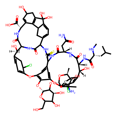 CN[C@H](CC(C)C)C(=O)N[C@H]1C(=O)N[C@@H](CC(N)=O)C(=O)N[C@H]2C(=S)NC3C(=O)N[C@H](C(=O)N[C@H](C(=O)O)C4=CC(O)CC5=C4C4CC3=CC=C4C5(O)O)[C@H](O)C3=CC=C(Oc4cc2cc(c4O[C@H]2OC(CO)C(O)[C@H](O)C2O[C@H]2CC(C)(N)[C@H](O)[C@H](C)O2)OC2=C(Cl)C=C(CC2)[C@H]1O)C(Cl)C3